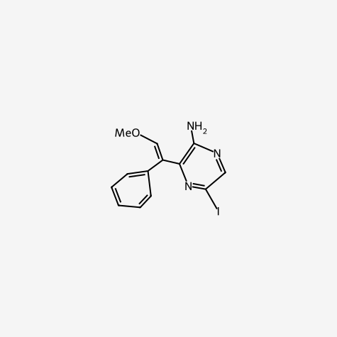 CO/C=C(\c1ccccc1)c1nc(I)cnc1N